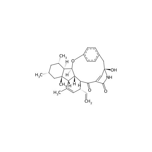 C=C[C@@H]1C=C(C)[C@H]2[C@@H]3[C@H](Oc4ccc(cc4)C[C@@]4(O)C=C(C(=O)N4)C(=O)[C@@H]13)[C@@H]1[C@@H](C)C[C@@H](C)C[C@]12C